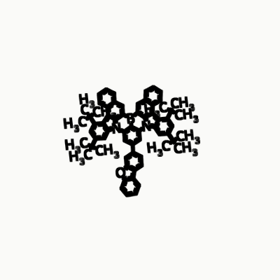 CC(C)(C)c1cc(C(C)(C)C)c2c3c4ccccc4cc4c3n(c2c1)-c1cc(-c2ccc3c(c2)oc2ccccc23)cc2c1B4c1cc3ccccc3c3c4c(C(C)(C)C)cc(C(C)(C)C)cc4n-2c13